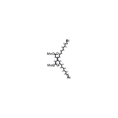 COC(=O)C/C(CCCCCCCCSC(C)=O)=C(/CCCCCCCCSC(C)=O)CC(=O)OC